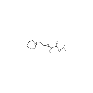 CC(C)OC(=O)C(=O)OCCN1CCCCC1